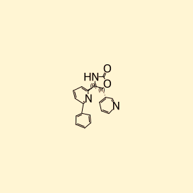 O=C1N[C@H](c2cccc(-c3ccccc3)n2)[C@@H](c2cccnc2)O1